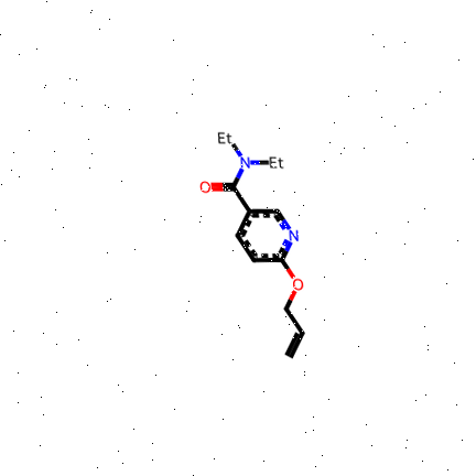 C=CCOc1ccc(C(=O)N(CC)CC)cn1